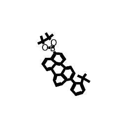 CC(C)(C)c1ccccc1-c1ccc2c3ccc(B4OC(C)(C)C(C)(C)O4)c4cccc(c5cccc1c52)c43